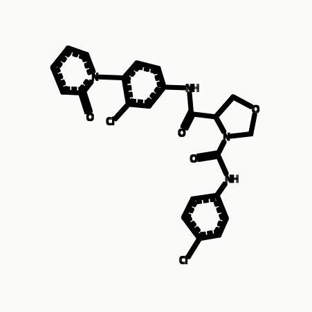 O=C(Nc1ccc(-n2ccccc2=O)c(Cl)c1)C1COCN1C(=O)Nc1ccc(Cl)cc1